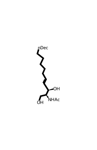 CCCCCCCCCCCCCCC/C=C/[C@@H](O)[C@H](CO)NC(C)=O